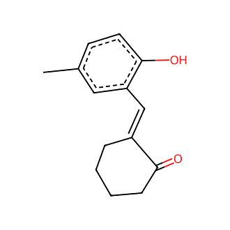 Cc1ccc(O)c(C=C2CCCCC2=O)c1